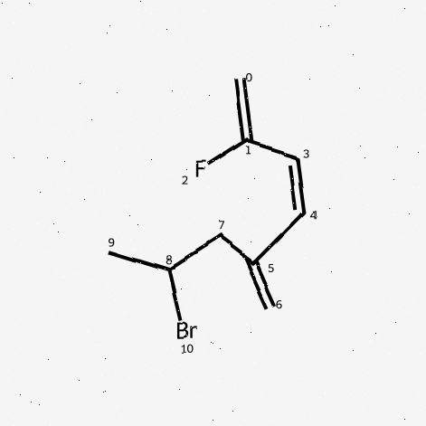 C=C(F)/C=C\C(=C)CC(C)Br